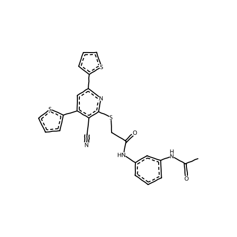 CC(=O)Nc1cccc(NC(=O)CSc2nc(-c3cccs3)cc(-c3cccs3)c2C#N)c1